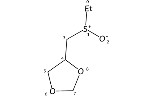 CC[S+]([O-])CC1COCO1